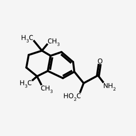 CC1(C)CCC(C)(C)c2cc(C(C(N)=O)C(=O)O)ccc21